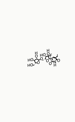 O=c1[nH]c(=O)n([C@H]2O[C@H](COC3O[C@H](CO)[C@@H](O)[C@@H]3O)[C@@H](O)[C@]2(O)F)cc1I